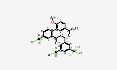 COc1ccc(C(C)C)cc1-c1ccc(C(F)(F)F)cc1C(C)CCc1cc(C(F)(F)F)cc(C(F)(F)F)c1